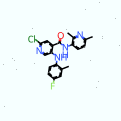 Cc1ccc(NC(=O)c2cc(Cl)ncc2Nc2ccc(F)cc2C)c(C)n1